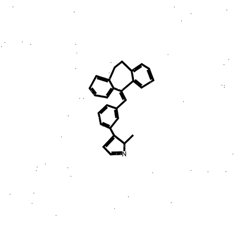 CC1N=CC=C1c1cccc(C=C2c3ccccc3CCc3ccccc32)c1